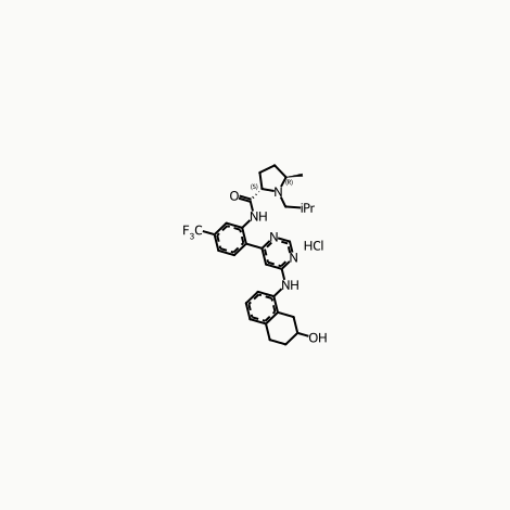 CC(C)CN1[C@H](C)CC[C@H]1C(=O)Nc1cc(C(F)(F)F)ccc1-c1cc(Nc2cccc3c2CC(O)CC3)ncn1.Cl